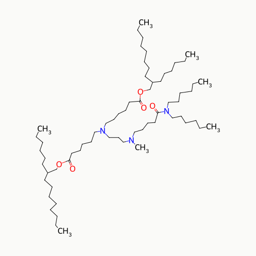 CCCCCCCCC(CCCCCC)COC(=O)CCCCCN(CCCCCC(=O)OCC(CCCCCC)CCCCCCCC)CCCN(C)CCCCC(=O)N(CCCCCC)CCCCCC